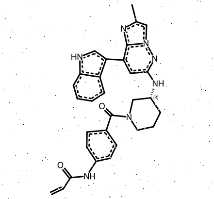 C=CC(=O)Nc1ccc(C(=O)N2CCC[C@@H](Nc3cc(-c4c[nH]c5ccccc45)c4nc(C)cn4n3)C2)cc1